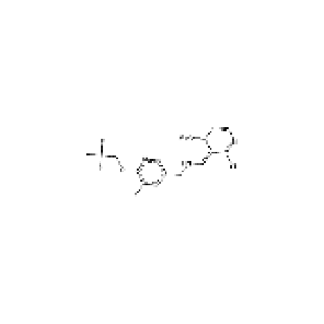 CNC1C=CN=C(Cl)/C1=C/NCc1cnc(OCC(C)(F)F)c(C)c1